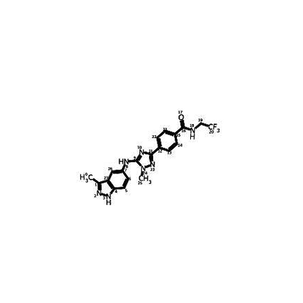 Cc1n[nH]c2ccc(Nc3nc(-c4ccc(C(=O)NCC(F)(F)F)cc4)nn3C)cc12